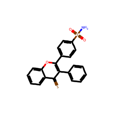 NS(=O)(=O)c1ccc(-c2oc3ccccc3c(=S)c2-c2ccccc2)cc1